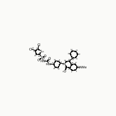 CNc1ccc2c(=O)n(-c3ccc(NC(=O)NS(=O)(=O)c4cc(Cl)c(Cl)s4)cc3)cc(-c3ccccc3)c2c1